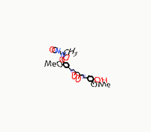 COc1cc(/C=C/C(=O)CC(=O)/C=C/c2ccc(OC(=O)N(C)CCN3CCOCC3)c(OC)c2)ccc1O